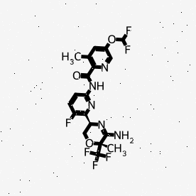 Cc1cc(OC(F)F)cnc1C(=O)Nc1ccc(F)c([C@@H]2CO[C@@](C)(C(F)(F)F)C(N)=N2)n1